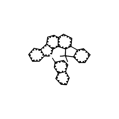 CC1(C)c2ccccc2-c2ccc3ccc4c5ccccc5n(-c5ccc6ccccc6c5)c4c3c21